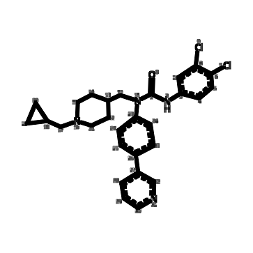 O=C(Nc1ccc(Cl)c(Cl)c1)N(CC1CCN(CC2CC2)CC1)c1ccc(-c2cccnc2)cc1